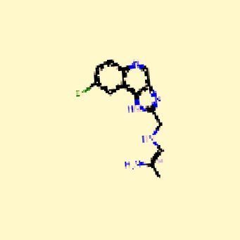 C/C(N)=C/NCc1nc2cnc3ccc(Br)cc3c2[nH]1